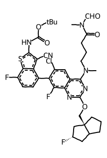 CN(C=O)C(=O)CCCN(C)c1nc(OC[C@@]23CCCC2C[C@H](F)C3)nc2c(F)c(-c3ccc(F)c4sc(NC(=O)OC(C)(C)C)c(C#N)c34)c(Cl)cc12